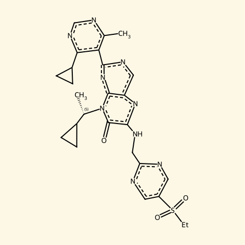 CCS(=O)(=O)c1cnc(CNc2nc3cnc(-c4c(C)ncnc4C4CC4)nc3n([C@@H](C)C3CC3)c2=O)nc1